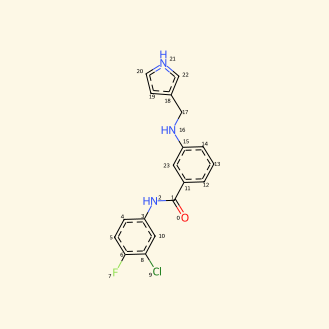 O=C(Nc1ccc(F)c(Cl)c1)c1cccc(NCc2cc[nH]c2)c1